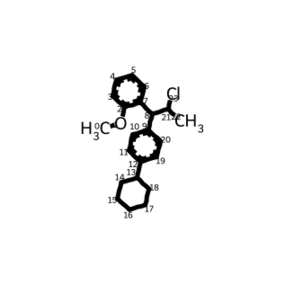 COc1ccccc1[C](c1ccc(C2CCCCC2)cc1)C(C)Cl